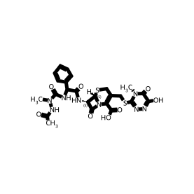 CC(=O)NN(C)C(=O)NC(C(=O)N[C@H]1C(=O)N2C(C(=O)O)=C(CSc3nnc(O)c(=O)n3C)CS[C@@H]12)c1ccccc1